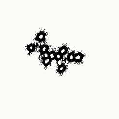 C1=CC2=c3cc(B(c4ccccc4)c4ccc5ccccc5c4)c4ccccc4c3=CC3c4ccc(N(c5ccccc5)c5ccccc5)cc4OC(=C1)C23